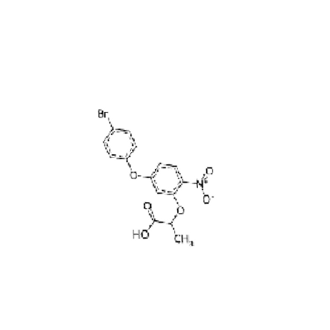 CC(Oc1cc(Oc2ccc(Br)cc2)ccc1[N+](=O)[O-])C(=O)O